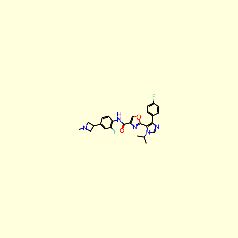 CC(C)n1cnc(-c2ccc(F)cc2)c1-c1nc(C(=O)Nc2ccc(C3CN(C)C3)cc2F)co1